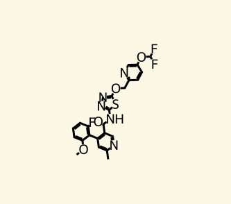 COc1cccc(F)c1-c1cc(C)ncc1C(=O)Nc1nnc(OCc2ccc(OC(F)F)cn2)s1